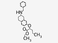 CCCC(Oc1ccc2c(c1)CC(NCc1ccccc1)CC2)C(=O)OCC